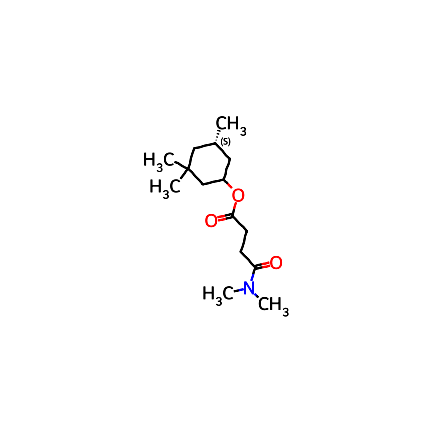 C[C@@H]1CC(OC(=O)CCC(=O)N(C)C)CC(C)(C)C1